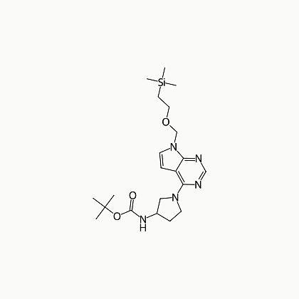 CC(C)(C)OC(=O)NC1CCN(c2ncnc3c2ccn3COCC[Si](C)(C)C)C1